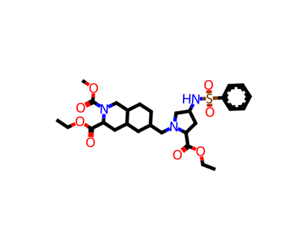 CCOC(=O)C1CC(NS(=O)(=O)c2ccccc2)CN1CC1CCC2CN(C(=O)OC)C(C(=O)OCC)CC2C1